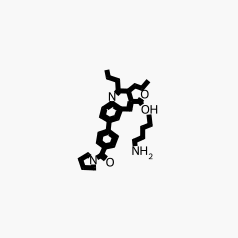 CCCC1=Nc2ccc(-c3ccc(C(=O)N4CCCC4)cc3)cc2C=C(C(=O)O)C1CCC.CCCCCN